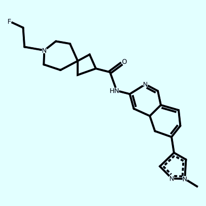 Cn1cc(C2=CC=C3C=NC(NC(=O)C4CC5(CCN(CCF)CC5)C4)=CC3C2)cn1